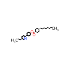 CCCCCCCC[C@H]1CC[C@H](C(=O)Oc2ccc(-c3ccc(CCC)cn3)cc2)CC1